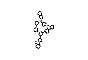 c1ccc(N(c2cccc(-c3cccc(-c4cc(-c5ccc6c(c5)oc5ccccc56)cc(-c5ccc6c(c5)oc5ccccc56)c4)c3)c2)c2ccc3ccccc3c2)cc1